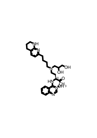 CC(=O)[C@H](CCN(CCCCc1ccc2c(n1)NCCC2)CC(O)CO)Nc1c2ccccc2nc[n+]1O